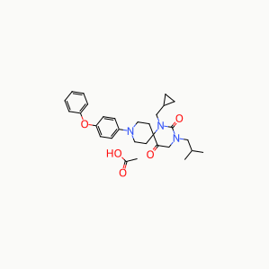 CC(=O)O.CC(C)CN1CC(=O)C2(CCN(c3ccc(Oc4ccccc4)cc3)CC2)N(CC2CC2)C1=O